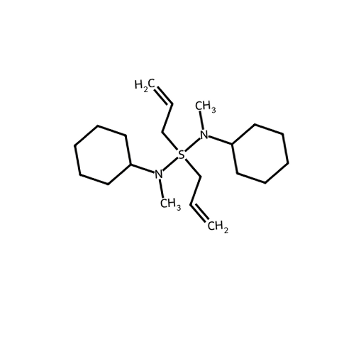 C=CCS(CC=C)(N(C)C1CCCCC1)N(C)C1CCCCC1